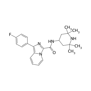 CC1(C)CC(NC(=O)c2nc(-c3ccc(F)cc3)c3ccccn23)CC(C)(C)N1